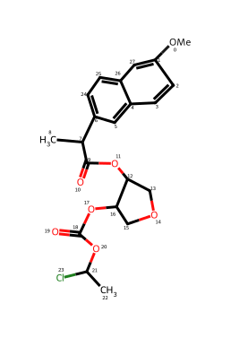 COc1ccc2cc(C(C)C(=O)OC3COCC3OC(=O)OC(C)Cl)ccc2c1